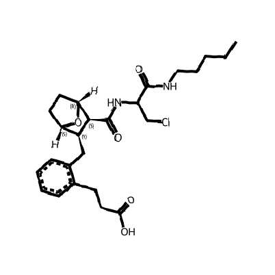 CCCCCNC(=O)C(CCl)NC(=O)[C@H]1[C@@H](Cc2ccccc2CCC(=O)O)[C@@H]2CC[C@H]1O2